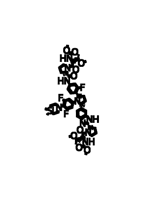 COC(=O)N[C@H](C(=O)N1CCC[C@H]1C(=O)Nc1ccc([C@H]2CC[C@H](c3ccc4nc([C@@H]5CCCN5C(=O)[C@@H](NC(=O)OC)[C@@H](C)OC)[nH]c4c3)N2c2cc(F)c(N3CC[Si](C)(C)CC3)c(F)c2)c(F)c1)[C@@H](C)OC